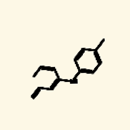 C=C/C=C(\C=C/C)Nc1ccc(C)cc1